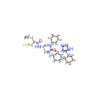 CC(C)CC(CS)C(=O)NCCN(Cc1ccc(-c2ccccc2-c2nnn[nH]2)cc1)C(=O)Nc1ccccc1